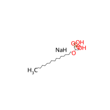 CCCCCCCCCCCCCCCCOC(CO)CS(=O)(=O)O.[NaH]